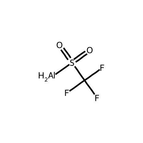 O=[S](=O)([AlH2])C(F)(F)F